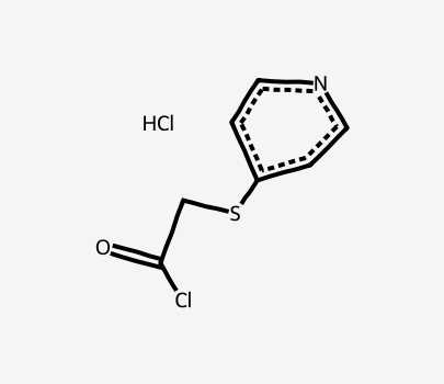 Cl.O=C(Cl)CSc1ccncc1